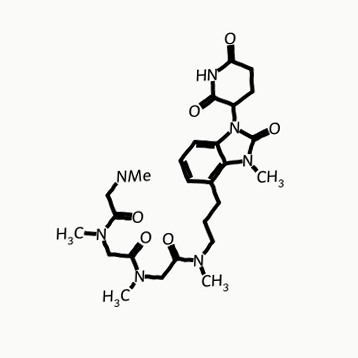 CNCC(=O)N(C)CC(=O)N(C)CC(=O)N(C)CCCc1cccc2c1n(C)c(=O)n2C1CCC(=O)NC1=O